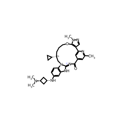 Cc1cc2cc(n1)-c1cnn(C)c1OCCC[C@@H](C1CC1)CN1/C(=N/C2=O)Nc2cc(N[C@H]3C[C@H](N(C)C)C3)ccc21